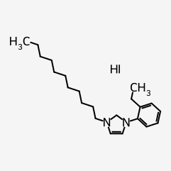 CCCCCCCCCCCN1C=CN(c2ccccc2CC)C1.I